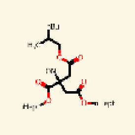 CCCCCCCOC(=O)CC(CC(=O)OCC(C)CCCC)(N=O)C(=O)OCCCCCCC